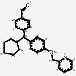 O=Cc1ccc(C(c2ccc(OCc3ccccn3)cc2)C2CCCCC2)cc1